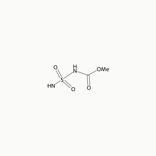 COC(=O)NS([NH])(=O)=O